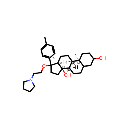 Cc1ccc(C2(OCCN3CCCC3)CC[C@@]3(O)[C@@H]4CCC5CC(O)CC[C@]5(C)[C@@H]4CC[C@]23C)cc1